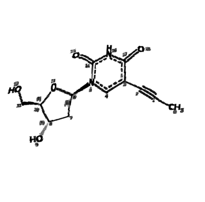 CC#Cc1cn([C@H]2C[C@H](O)[C@@H](CO)O2)c(=O)[nH]c1=O